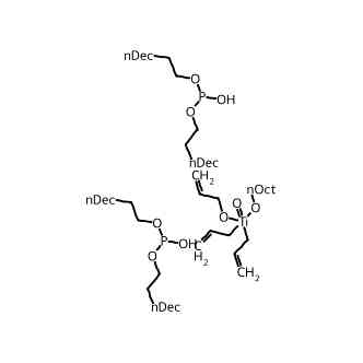 C=CC[O][Ti](=[O])([CH2]C=C)([CH2]C=C)[O]CCCCCCCC.CCCCCCCCCCCCOP(O)OCCCCCCCCCCCC.CCCCCCCCCCCCOP(O)OCCCCCCCCCCCC